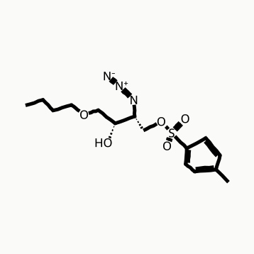 CCCCOC[C@@H](O)[C@@H](COS(=O)(=O)c1ccc(C)cc1)N=[N+]=[N-]